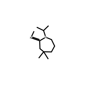 C/N=C1/CC(C)(C)CCCN1C(C)C